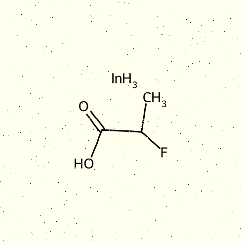 CC(F)C(=O)O.[InH3]